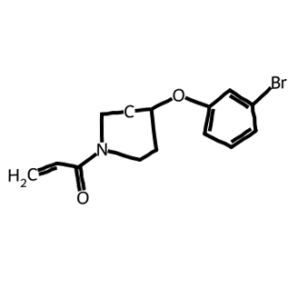 C=CC(=O)N1CCC(Oc2cccc(Br)c2)CC1